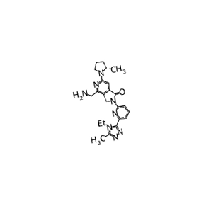 CCn1c(C)nnc1-c1cccc(N2Cc3c(cc(N4CCC[C@@H]4C)nc3CN)C2=O)n1